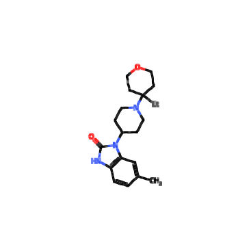 CCC1(N2CCC(n3c(=O)[nH]c4ccc(C)cc43)CC2)CCOCC1